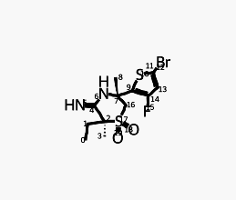 CC[C@@]1(C)C(=N)N[C@](C)(c2sc(Br)cc2F)CS1(=O)=O